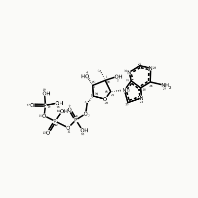 C[C@@]1(O)[C@@H](O)[C@@H](COP(=O)(O)OP(=O)(O)OP(=O)(O)O)O[C@H]1n1cnc2c(N)ncnc21